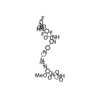 COc1cc(N2CC3(C2)CN(CC2CCN(c4ccc(-c5cnc6[nH]cc(C(=O)c7c(F)ccc(NS(=O)(=O)N8CC[C@@H](F)C8)c7F)c6c5)cc4)CC2)[C@H]3C)cc2c1C(=O)N(C1CCC(=O)NC1=O)C2